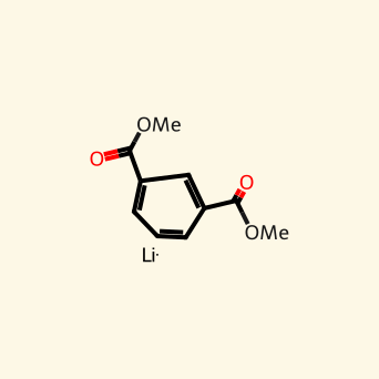 COC(=O)c1cccc(C(=O)OC)c1.[Li]